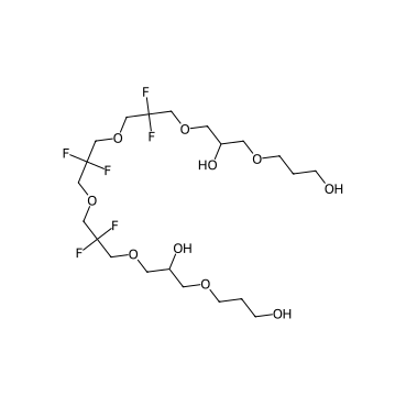 OCCCOCC(O)COCC(F)(F)COCC(F)(F)COCC(F)(F)COCC(O)COCCCO